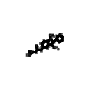 Cc1c(-c2cccnc2)n(C)c2ccc(CC(=O)CNO)cc12